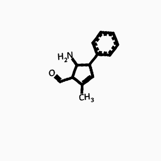 CC1=CC(c2ccccc2)C(N)C1C=O